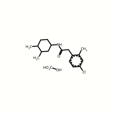 Cc1cc(Cl)ccc1CC(=O)NC1CCC(C)C(C)C1.O=C(O)O